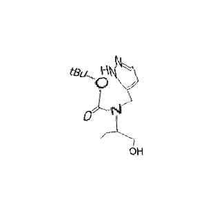 CC(CO)N(Cc1ccn[nH]1)C(=O)OC(C)(C)C